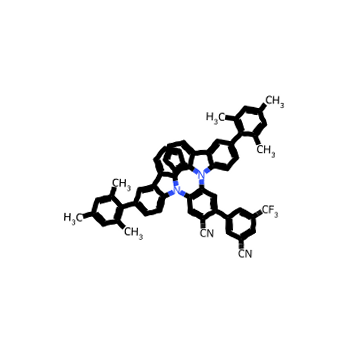 Cc1cc(C)c(-c2ccc3c(c2)c2ccccc2n3-c2cc(C#N)c(-c3cc(C#N)cc(C(F)(F)F)c3)cc2-n2c3ccccc3c3cc(-c4c(C)cc(C)cc4C)ccc32)c(C)c1